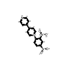 O=[N+]([O-])c1ccc(-[n+]2ccc(-c3ccncc3)cc2)c([N+](=O)[O-])c1